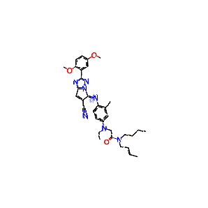 CCCCN(CCCC)C(=O)CN(CC)c1ccc(/N=C2\C(C#N)=Cc3nc(-c4cc(OC)ccc4OC)nn32)c(C)c1